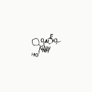 CC(C)O[C@H]1CCN(C(=O)C2NNN(CCO)C2C2CCCCCCC2)C[C@H]1F